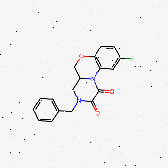 O=C1C(=O)N2c3cc(F)ccc3OCC2CN1Cc1ccccc1